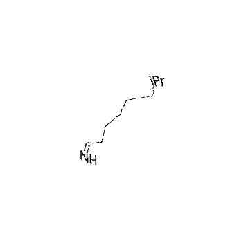 CC(C)CCCCCC=N